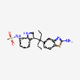 CCC(CC)(c1ccc2sc(N)nc2c1)c1c[nH]c2c(NS(C)(=O)=O)cccc12